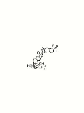 CC(C)(C)C1c2ccc(C(=O)Nc3csc(Cc4cccc(C(F)(F)F)c4)n3)cc2CCN1C(=O)O